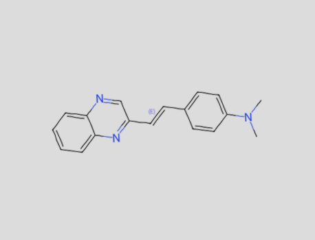 CN(C)c1ccc(/C=C/c2cnc3ccccc3n2)cc1